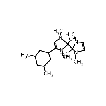 CC1CC(C)CC(C2=CN(C)C(C)(C3(C)N(C)C=CN3C)N2C)C1